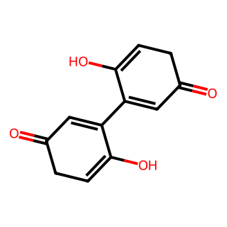 O=C1C=C(C2=CC(=O)CC=C2O)C(O)=CC1